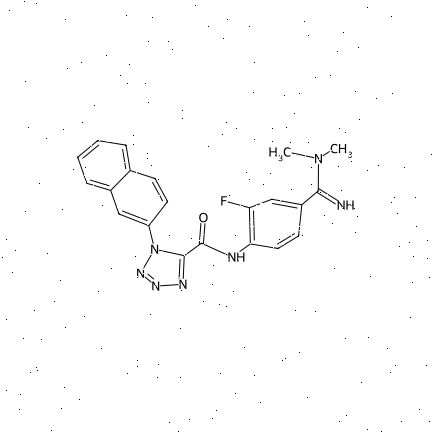 CN(C)C(=N)c1ccc(NC(=O)c2nnnn2-c2ccc3ccccc3c2)c(F)c1